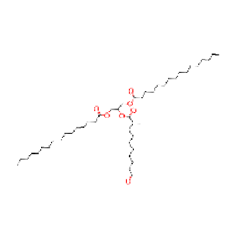 CCCCCCCCCCCCCCCC(=O)OCC(COC(=O)CCCCCCCCCCCCCCC)OC(=O)C(C)CCCCCCCC=O